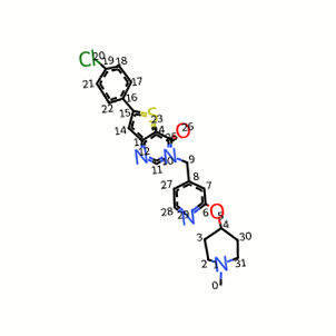 CN1CCC(Oc2cc(Cn3cnc4cc(-c5ccc(Cl)cc5)sc4c3=O)ccn2)CC1